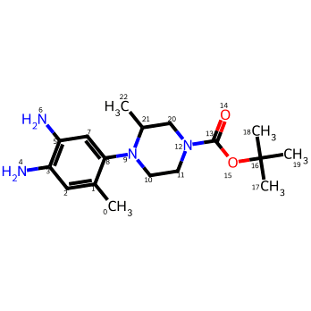 Cc1cc(N)c(N)cc1N1CCN(C(=O)OC(C)(C)C)CC1C